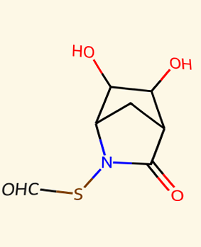 O=CSN1C(=O)C2CC1C(O)C2O